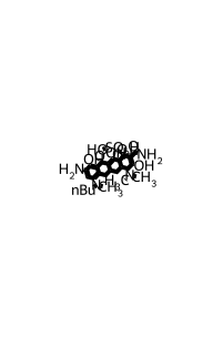 CCCCN(C)c1cc(N)c(O)c2c1CC1CC3[C@H](N(C)C)C(O)=C(C(N)=O)C(=O)[C@@]3(O)C(O)=C1C2=O.O=S(=O)(O)O